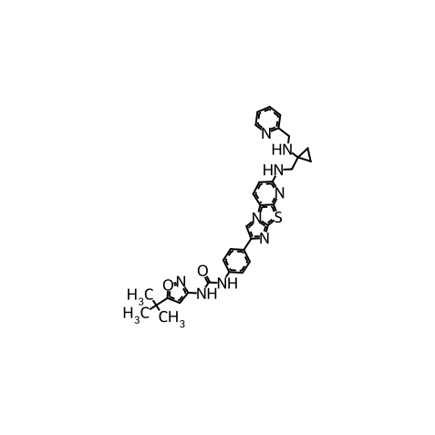 CC(C)(C)c1cc(NC(=O)Nc2ccc(-c3cn4c(n3)sc3nc(NCC5(NCc6ccccn6)CC5)ccc34)cc2)no1